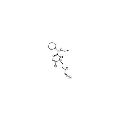 CCO[C@H](C(=O)N[C@@H](CCC(=O)C=[N+]=[N-])C(=O)O)C1CCCCC1